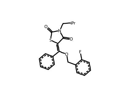 CC(C)CN1C(=O)SC(=C(OCc2ccccc2F)c2ccccc2)C1=O